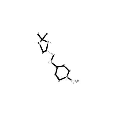 CC1(C)OC[C@@H](COC2CCN(C(=O)O)CC2)O1